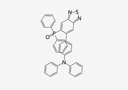 O=P(c1ccccc1)(c1ccccc1)c1cc2nsnc2cc1-c1ccc(N(c2ccccc2)c2ccccc2)cc1